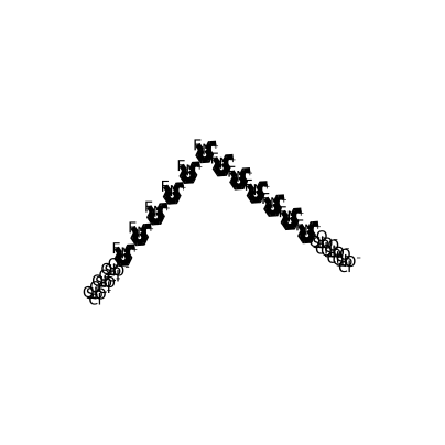 CC[n+]1ccccc1F.CC[n+]1ccccc1F.CC[n+]1ccccc1F.CC[n+]1ccccc1F.CC[n+]1ccccc1F.CC[n+]1ccccc1F.CC[n+]1ccccc1F.CC[n+]1ccccc1F.CC[n+]1ccccc1F.CC[n+]1ccccc1F.CC[n+]1ccccc1F.CC[n+]1ccccc1F.[O]=[Sb]([O-])([O-])[Cl].[O]=[Sb]([O-])([O-])[Cl].[O]=[Sb]([O-])([O-])[Cl].[O]=[Sb]([O-])([O-])[Cl].[O]=[Sb]([O-])([O-])[Cl].[O]=[Sb]([O-])([O-])[Cl]